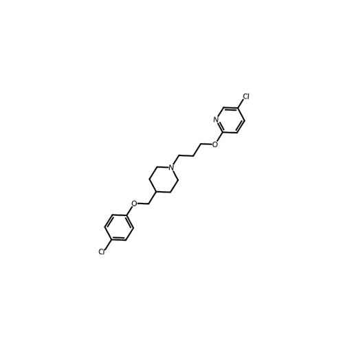 Clc1ccc(OCC2CCN(CCCOc3ccc(Cl)cn3)CC2)cc1